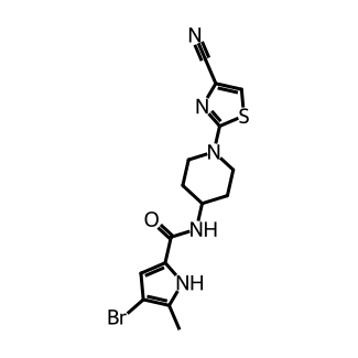 Cc1[nH]c(C(=O)NC2CCN(c3nc(C#N)cs3)CC2)cc1Br